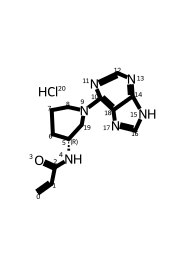 C=CC(=O)N[C@@H]1CCCN(c2ncnc3[nH]cnc23)C1.Cl